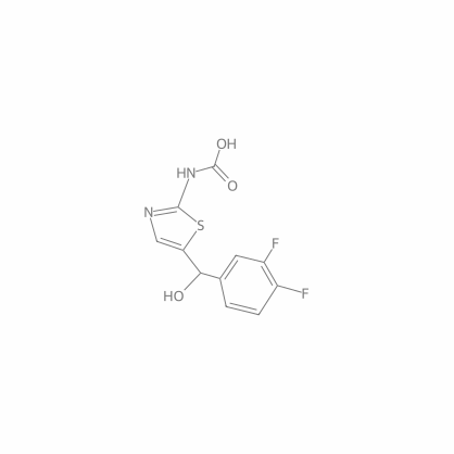 O=C(O)Nc1ncc(C(O)c2ccc(F)c(F)c2)s1